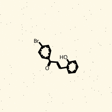 O=C(/C=C/c1ccccc1O)c1ccc(Br)cc1